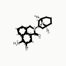 CN1[C@@H]2CCC[C@H]1C[C@@H](N1Cc3cccc4c(N)c(Br)cc(c34)C1=O)C2